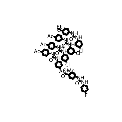 CC(=O)c1ccc(NC(=O)Nc2ccc(C(C)=O)cc2)cc1.CC(=O)c1ccc(NC(=O)Nc2ccc(Cl)cc2)cc1.CC(=O)c1ccc(NC(=O)Nc2cccc(Cl)c2)cc1.CCOc1ccc(NC(=O)Nc2ccc(Cl)cc2)cc1.COC(=O)c1ccc(NC(=O)Nc2ccc(F)cc2)cc1